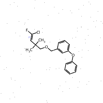 CC(C)(/C=C(/F)Cl)COCc1cccc(Oc2ccccc2)c1